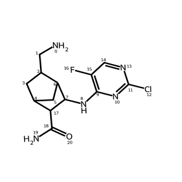 NCC1CC2CC1C(Nc1nc(Cl)ncc1F)C2C(N)=O